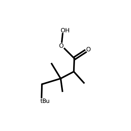 CC(C(=O)OO)C(C)(C)CC(C)(C)C